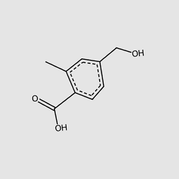 Cc1cc(CO)ccc1C(=O)O